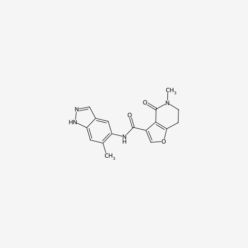 Cc1cc2[nH]ncc2cc1NC(=O)c1coc2c1C(=O)N(C)CC2